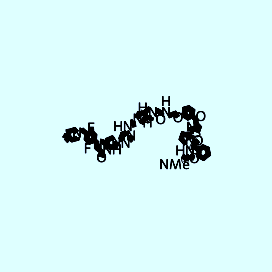 CN[C@@H](C)C(=O)N[C@H](C(=O)N1CCC[C@H]1c1nc(C(=O)c2cccc(OCCNC(=O)CN3C[C@H]4CN(CCNc5cc(N6CCC7(CC6)CN(c6cc(F)c(CN8CCC(C)(C)CC8)cc6F)CC(=O)N7)ncn5)C[C@H]4C3)c2)cs1)C1CCCCC1